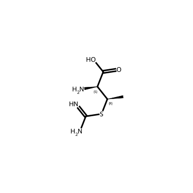 C[C@@H](SC(=N)N)[C@@H](N)C(=O)O